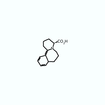 O=C(O)[C@@H]1CCCC2=C3C=CC=CC3CCCN21